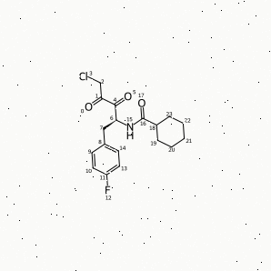 O=C(CCl)C(=O)[C@H](Cc1ccc(F)cc1)NC(=O)C1CCCCC1